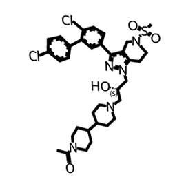 CC(=O)N1CCC(C2CCN(C[C@H](O)Cn3nc(-c4ccc(Cl)c(-c5ccc(Cl)cc5)c4)c4c3CCN(S(C)(=O)=O)C4)CC2)CC1